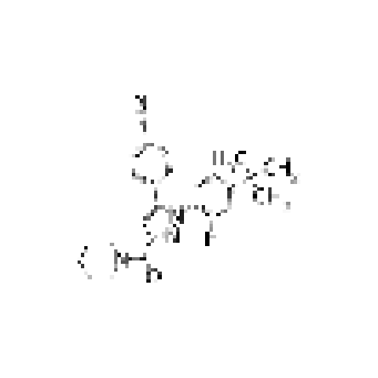 CC(C)(C)c1ccc(-n2nc(C(=O)N3CCCCC3)cc2-c2ccc(C#N)cc2)c(F)c1